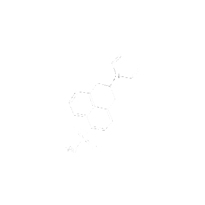 C=CN(C=C)C1Cc2cccc3c(S(=O)(=O)CCCC)ccc(c23)C1